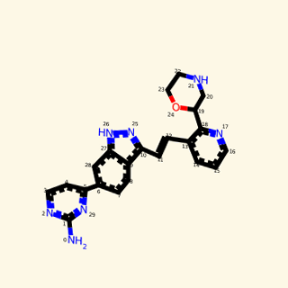 Nc1nccc(-c2ccc3c(C=Cc4cccnc4C4CNCCO4)n[nH]c3c2)n1